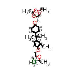 C=C(C)O[C@H](CCl)COc1ccc(C(C)(C)c2ccc(OC[C@@H](COC)OC(C)=O)cc2)cc1C